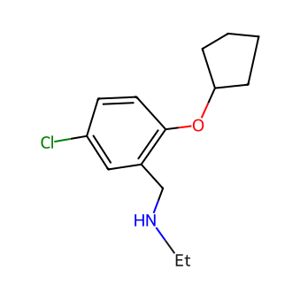 CCNCc1cc(Cl)ccc1OC1CCCC1